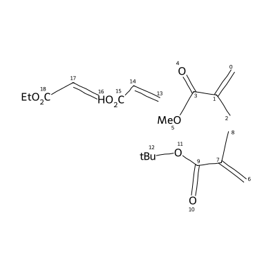 C=C(C)C(=O)OC.C=C(C)C(=O)OC(C)(C)C.C=CC(=O)O.C=CC(=O)OCC